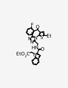 CCOC(=O)Cn1c(C(=O)NCc2nnc(C)n2-c2sc(CC)cc2C(=O)c2ccccc2F)cc2ccccc21